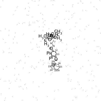 CC(C)(C)OP(=O)(CCCOc1ccc(OCC23CC4CC(CC(C4)C2)C3)c(F)c1F)OC(C)(C)C